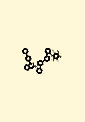 [2H]c1c([2H])c([2H])c(-n2c3ccccc3c3cc(-c4ccc5c(c4)c4ccccc4n5-c4cc5ccccc5c(-c5ccc(-c6ccccc6)cc5)n4)ccc32)c([2H])c1[2H]